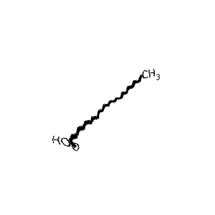 CCCCCCCCCCCCCCCCCC/C=C/C=C/C=C/C(=O)O